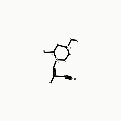 CCN1CCN(/C=C(/C)C#N)C(C)C1